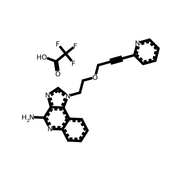 Nc1nc2ccccc2c2c1ncn2CCOCC#Cc1ccccn1.O=C(O)C(F)(F)F